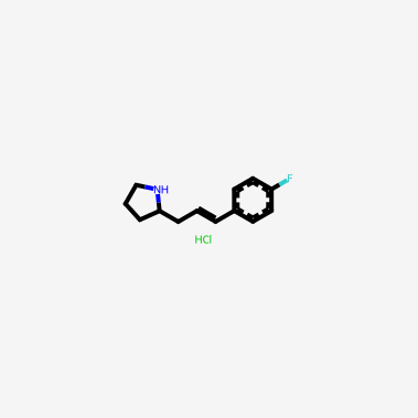 Cl.Fc1ccc(C=CCC2CCCN2)cc1